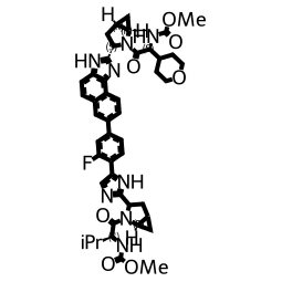 COC(=O)N[C@H](C(=O)N1C(c2ncc(-c3ccc(-c4ccc5c(ccc6[nH]c([C@@H]7C[C@H]8C[C@H]8N7C(=O)[C@@H](NC(=O)OC)C7CCOCC7)nc65)c4)cc3F)[nH]2)CC2C[C@H]21)C(C)C